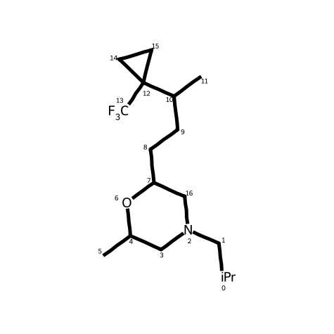 CC(C)CN1CC(C)OC(CCC(C)C2(C(F)(F)F)CC2)C1